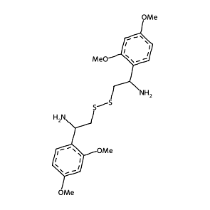 COc1ccc(C(N)CSSCC(N)c2ccc(OC)cc2OC)c(OC)c1